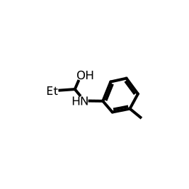 CCC(O)Nc1cccc(C)c1